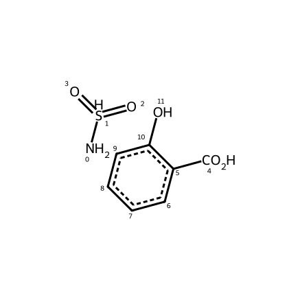 N[SH](=O)=O.O=C(O)c1ccccc1O